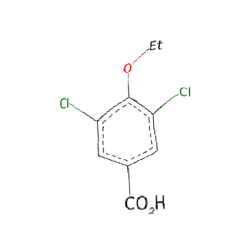 CCOc1c(Cl)cc(C(=O)O)cc1Cl